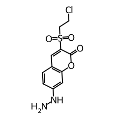 NNc1ccc2cc(S(=O)(=O)CCCl)c(=O)oc2c1